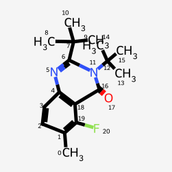 Cc1ccc2nc(C(C)(C)C)n(C(C)(C)C)c(=O)c2c1F